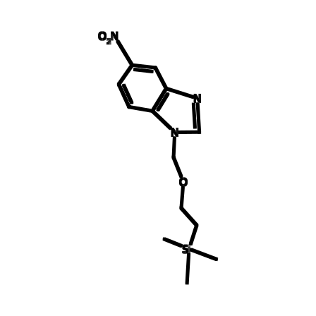 C[Si](C)(C)CCOCn1cnc2cc([N+](=O)[O-])ccc21